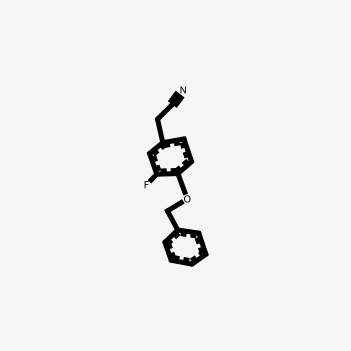 N#CCc1ccc(OCc2ccccc2)c(F)c1